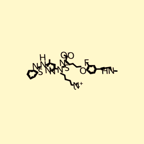 CNCC#Cc1ccc(OCCCc2sc(N(CCCCC[N+](C)(C)C)c3cc(C)c(Nc4nc5ccccc5s4)nn3)nc2C(=O)[O-])c(F)c1